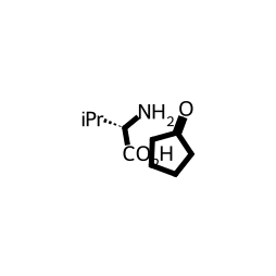 CC(C)[C@H](N)C(=O)O.O=C1CCCC1